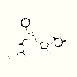 COCC(C)OC(=O)[C@H](C)NP(=O)(OC[C@H]1O[C@@H](n2ccc(=O)[nH]c2=O)[C@@H](Cl)[C@@H]1O)Oc1ccccc1